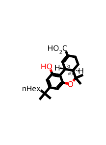 CCCCCCC(C)(C)c1cc(O)c2c(c1)OC(C)(C)[C@@H]1CCC(C(=O)O)=C[C@@H]21